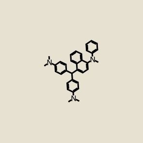 CN(C)c1ccc(C(c2ccc(N(C)C)cc2)c2ccc(N(C)c3ccccc3)c3ccccc23)cc1